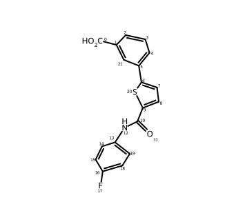 O=C(O)c1cccc(-c2ccc(C(=O)Nc3ccc(F)cc3)s2)c1